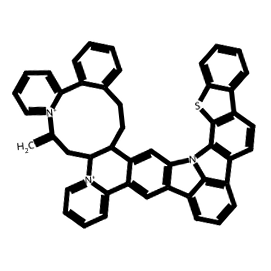 C=C1CC2C(CCc3ccccc3-c3cccc[n+]31)c1cc3c(cc1-c1cccc[n+]12)c1cccc2c4ccc5c6ccccc6sc5c4n3c12